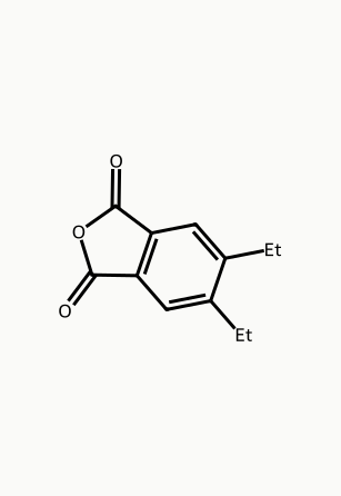 CCc1cc2c(cc1CC)C(=O)OC2=O